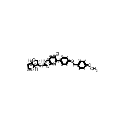 COc1ccc(COc2ccc(-c3nc4nc(OC5CO[C@@H]6CCO[C@H]56)[nH]c4cc3Cl)cc2)cc1